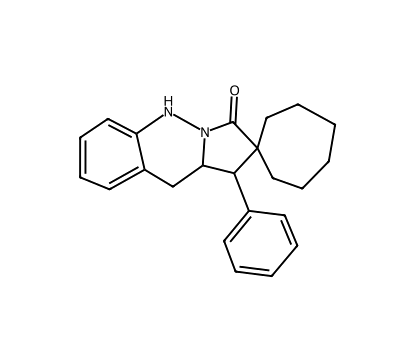 O=C1N2Nc3ccccc3CC2C(c2ccccc2)C12CCCCCC2